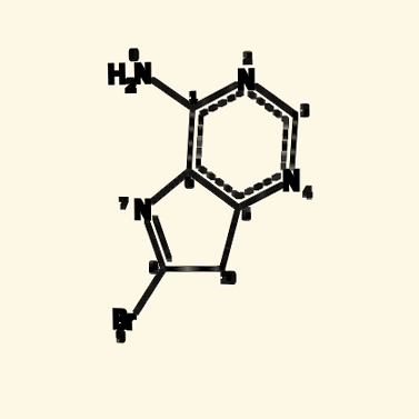 Nc1ncnc2c1N=C(Br)C2